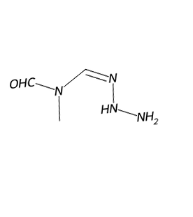 CN(C=O)/C=N\NN